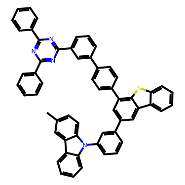 Cc1ccc2c(c1)c1ccccc1n2-c1cccc(-c2cc(-c3ccc(-c4cccc(-c5nc(-c6ccccc6)nc(-c6ccccc6)n5)c4)cc3)c3sc4ccccc4c3c2)c1